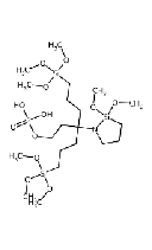 CO[Si](CCCC(CCC[Si](OC)(OC)OC)(CCOP(=O)(O)O)N1CCC[Si]1(OC)OC)(OC)OC